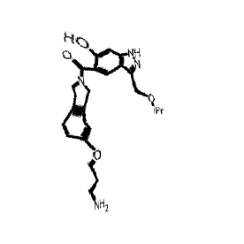 CC(C)OCc1n[nH]c2cc(O)c(C(=O)N3Cc4ccc(OCCCN)cc4C3)cc12